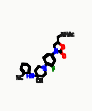 CC(=O)NCC1CN(c2ccc(N3CCC(C#N)(Nc4ccccc4C#N)CC3)c(F)c2)C(=O)O1